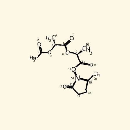 CC(=O)O[C@@H](C)C(=O)O[C@@H](C)C(=O)ON1C(=O)CCC1O